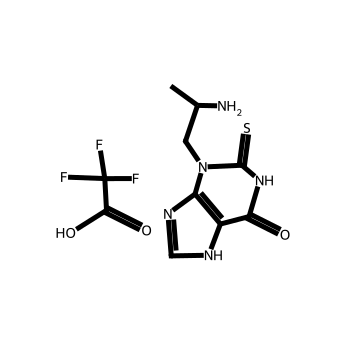 CC(N)Cn1c(=S)[nH]c(=O)c2[nH]cnc21.O=C(O)C(F)(F)F